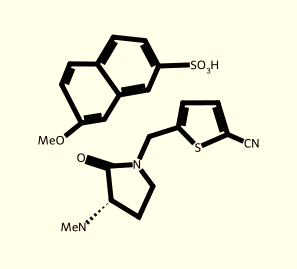 CN[C@H]1CCN(Cc2ccc(C#N)s2)C1=O.COc1ccc2ccc(S(=O)(=O)O)cc2c1